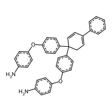 Nc1ccc(Oc2ccc(C3(c4ccc(Oc5ccc(N)cc5)cc4)C=CC(c4ccccc4)=CC3)cc2)cc1